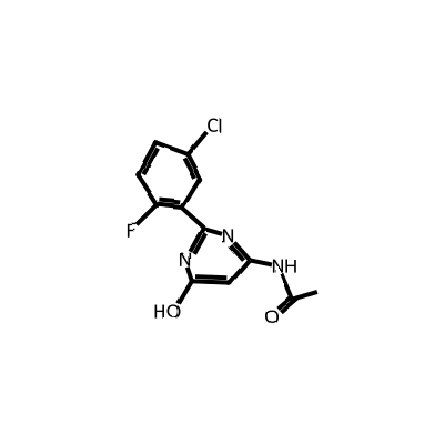 CC(=O)Nc1cc(O)nc(-c2cc(Cl)ccc2F)n1